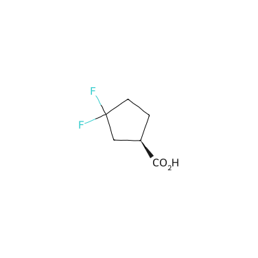 O=C(O)[C@@H]1CCC(F)(F)C1